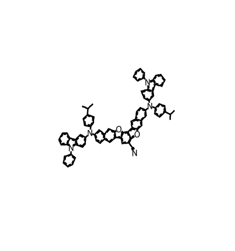 CC(C)c1ccc(N(c2ccc3cc4c(cc3c2)oc2c4cc(C#N)c3oc4cc5cc(N(c6ccc(C(C)C)cc6)c6ccc7c(c6)c6ccccc6n7-c6ccccc6)ccc5cc4c32)c2ccc3c(c2)c2ccccc2n3-c2ccccc2)cc1